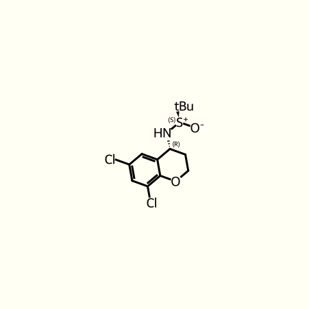 CC(C)(C)[S@@+]([O-])N[C@@H]1CCOc2c(Cl)cc(Cl)cc21